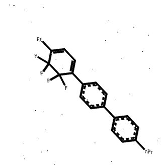 CCCc1ccc(-c2ccc(C3=CC=C(CC)C(F)(F)C3(F)F)cc2)cc1